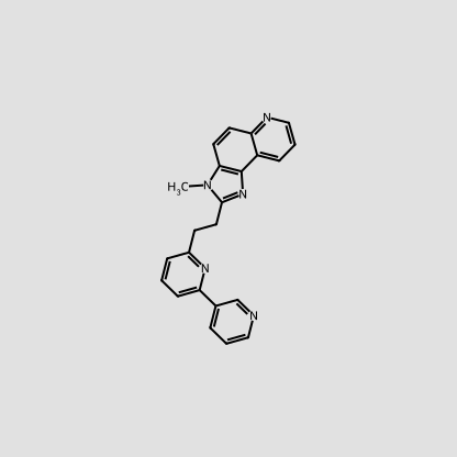 Cn1c(CCc2cccc(-c3cccnc3)n2)nc2c3cccnc3ccc21